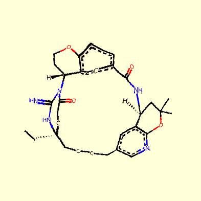 CC[C@]12CCCCc3cnc4c(c3)[C@H](CC(C)(C)O4)NC(=O)c3ccc4c(c3)[C@@H](CCO4)N(C(=N)N1)C(=O)C2